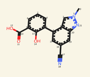 Cn1cc2c(-c3cccc(C(=O)O)c3O)cc(C#N)cc2n1